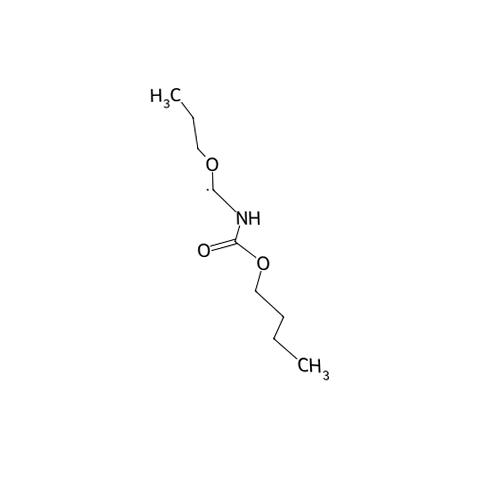 CCCCOC(=O)N[CH]OCCC